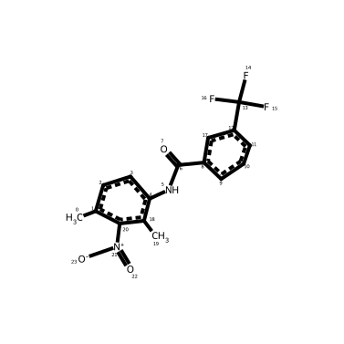 Cc1ccc(NC(=O)c2cccc(C(F)(F)F)c2)c(C)c1[N+](=O)[O-]